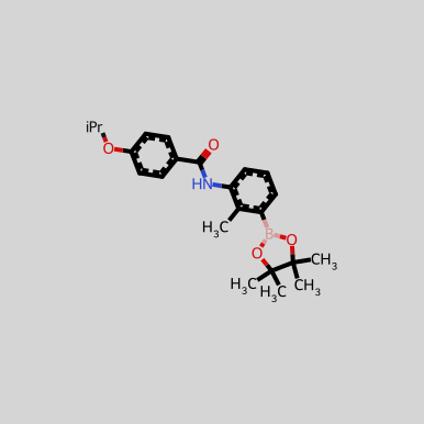 Cc1c(NC(=O)c2ccc(OC(C)C)cc2)cccc1B1OC(C)(C)C(C)(C)O1